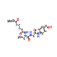 COC(=O)CCCCC(=O)NC(CC(C)C)C(=O)NCC(=O)Nc1ccc(CO)cc1